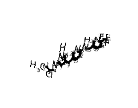 CC/C(Cl)=C\N=C1/CC(Cc2ccc(NCc3ccc(C(F)(F)F)nc3)nc2)=CN1